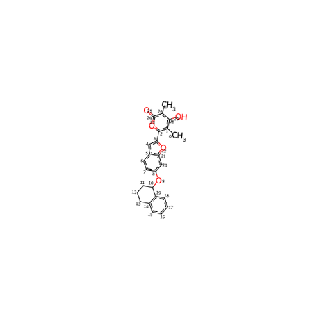 Cc1c(-c2cc3ccc(OC4CCCc5ccccc54)cc3o2)oc(=O)c(C)c1O